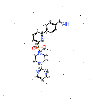 N=Cc1ccc(-c2cccc(S(=O)(=O)N3CCN(c4ncccn4)CC3)n2)cc1